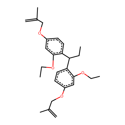 C=C(C)COc1ccc(C(CC)c2ccc(OCC(=C)C)cc2OCC)c(OCC)c1